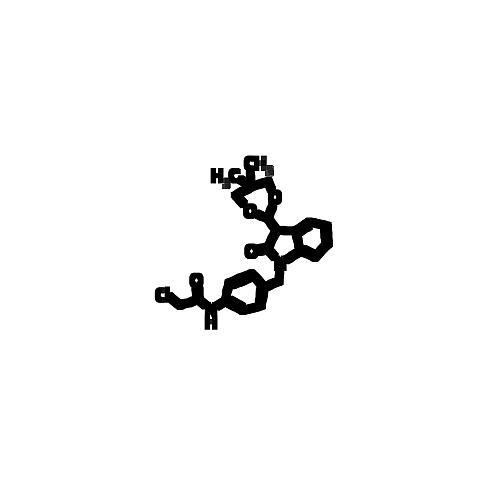 CC1(C)COC(C2C(=O)N(Cc3ccc(NC(=O)CCl)cc3)c3ccccc32)OC1